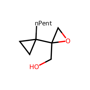 CCCCCC1(C2(CO)CO2)CC1